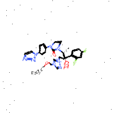 CCOC(=O)OCn1cn[n+](C[C@](O)(c2ccc(F)cc2F)[C@@H](C)N2CCN(c3ccc(-n4ccnn4)cc3)C2=O)c1